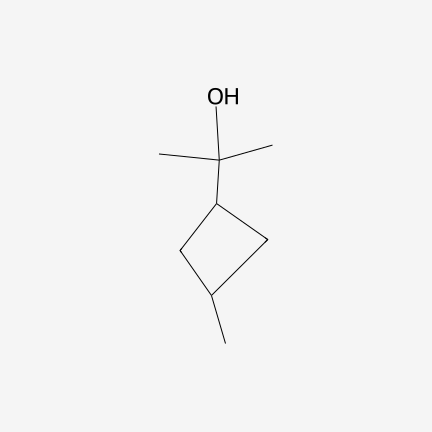 CC1CC(C(C)(C)O)C1